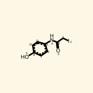 O=C(CI)Nc1ccc(O)cc1